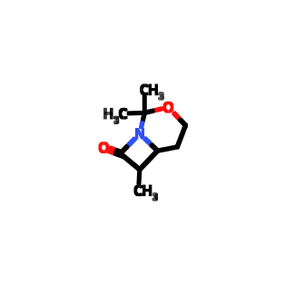 CC1C(=O)N2C1CCOC2(C)C